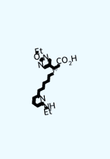 CCNc1cccc(CCCCCC[C@@H](CC(=O)O)c2cnc(OCC)nc2)n1